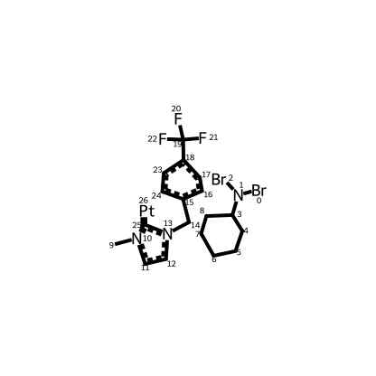 BrN(Br)C1CCCCC1.Cn1ccn(Cc2ccc(C(F)(F)F)cc2)[c]1=[Pt]